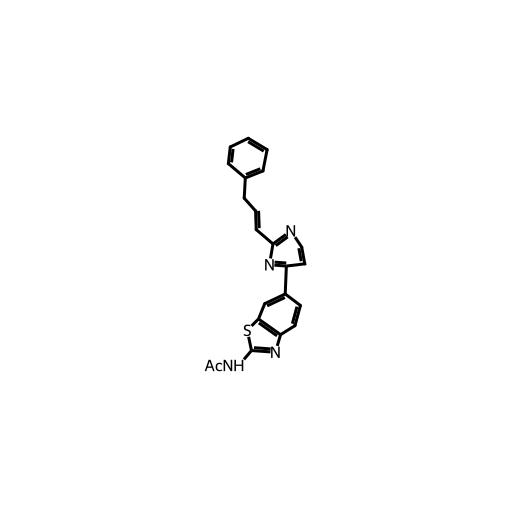 CC(=O)Nc1nc2ccc(-c3ccnc(/C=C/Cc4ccccc4)n3)cc2s1